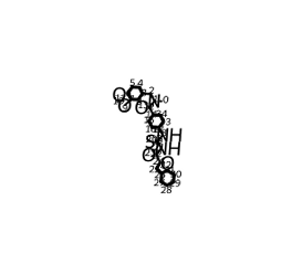 CN(Cc1ccc2c(c1)OCO2)C(=O)c1ccc(NC(=S)NC(=O)c2cc3ccccc3o2)cc1